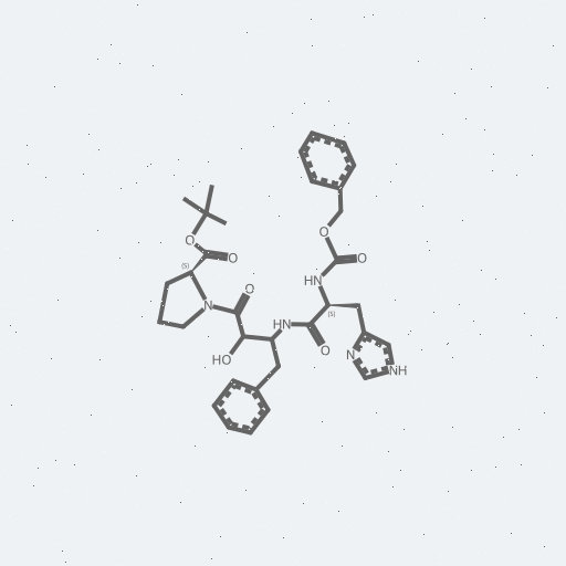 CC(C)(C)OC(=O)[C@@H]1CCCN1C(=O)C(O)C(Cc1ccccc1)NC(=O)[C@H](Cc1c[nH]cn1)NC(=O)OCc1ccccc1